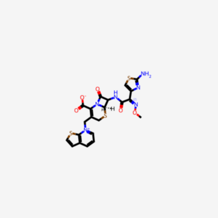 CO/N=C(\C(=O)NC1C(=O)N2C(C(=O)[O-])=C(C[n+]3cccc4ccsc43)CS[C@H]12)c1csc(N)n1